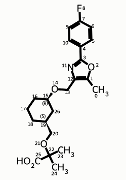 Cc1oc(-c2ccc(F)cc2)nc1CO[C@@H]1CCC[C@H](COC(C)(C)C(=O)O)C1